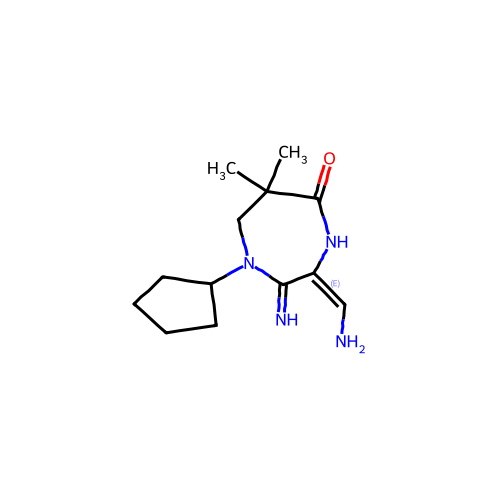 CC1(C)CN(C2CCCC2)C(=N)/C(=C\N)NC1=O